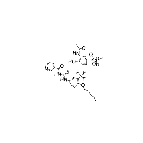 CC(=O)Nc1cc([As](=O)(O)O)ccc1O.CCCCCOc1ccc(NC(=S)NC(=O)c2cccnc2)cc1C(F)(F)F